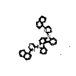 C1=C(n2c3ccccc3c3c4c5ccccc5n(-c5cccc(-c6cccc7ccccc67)n5)c4ccc32)N=C(c2cccc3ccccc23)CC1